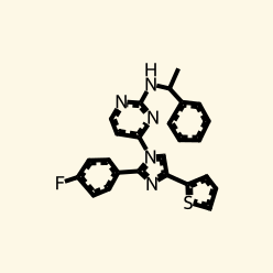 CC(Nc1nccc(-n2cc(-c3cccs3)nc2-c2ccc(F)cc2)n1)c1ccccc1